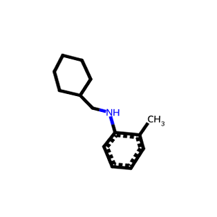 Cc1ccccc1NCC1CCCCC1